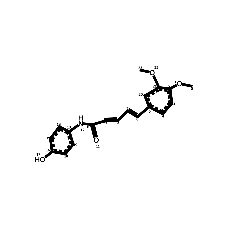 COc1ccc(C=CC=CC(=O)Nc2ccc(O)cc2)cc1OC